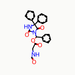 O=CNCC(=O)OC(c1ccccc1)N1C(=O)NC(c2ccccc2)(c2ccccc2)C1=O